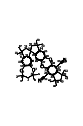 CC1(C)CC(C)(C)Oc2cc3c(cc2O1)C(C)(C)CC31CC(C)(C)c2cc3c(cc21)Oc1c(C#N)c2c(c(C#N)c1O3)C(C)(C)CC2(C)C